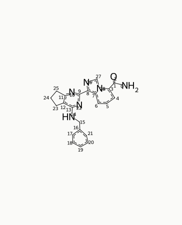 NC(=O)c1cccc2c(-c3nc4c(c(NCc5ccccc5)n3)CCC4)ncn12